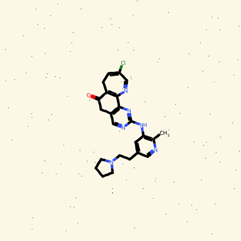 Cc1ncc(CCN2CCCC2)cc1Nc1ncc2c(n1)C1=C(CC=C(Cl)C=N1)C(=O)C2